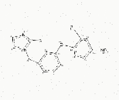 Cc1nccn1Cc1cccc(Oc2ccc([N+](=O)[O-])cc2Cl)c1